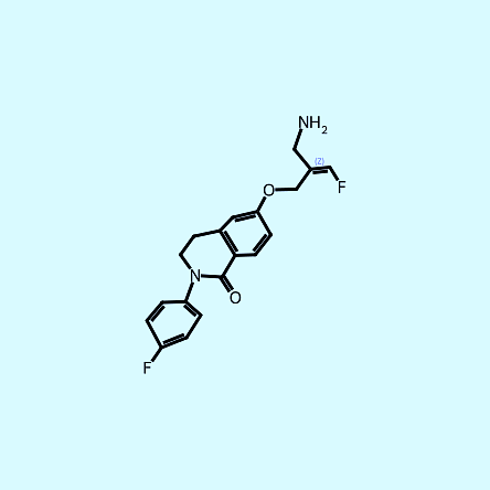 NC/C(=C/F)COc1ccc2c(c1)CCN(c1ccc(F)cc1)C2=O